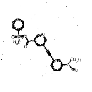 CC(C)(C)N(C(=O)O)c1cccc(C#Cc2cncc(C(=O)N=[S@@](C)(=O)c3ccccc3)c2)c1